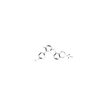 CCOc1ccc(-c2nc(Nc3cccc4c3CCN(S(=O)(=O)C(C)C)C4)ccc2C)nn1